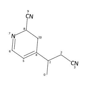 CC(CC#N)C1=CC=NC(C#N)C1